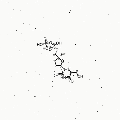 O=c1[nH]c(=O)n([C@H]2CC[C@@](F)(COP(=O)(O)OP(=O)(O)O)O2)cc1CO